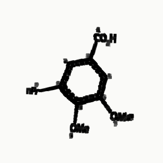 CCCc1cc(C(=O)O)cc(OC)c1OC